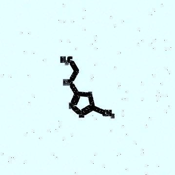 CCNc1nnc(C)s1